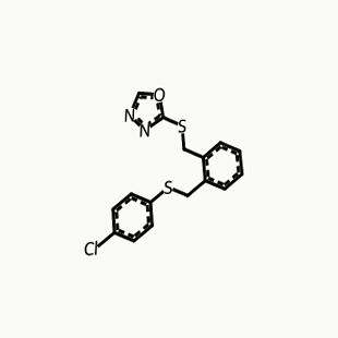 Clc1ccc(SCc2ccccc2CSc2nnco2)cc1